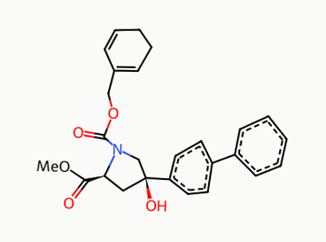 COC(=O)[C@@H]1C[C@@](O)(c2ccc(-c3ccccc3)cc2)CN1C(=O)OCC1=CCCC=C1